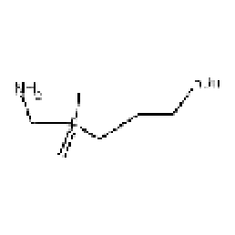 C=P(C)(CN)CCCCCCC